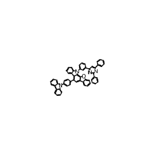 c1ccc(-c2cc(-c3cccc(-n4c5ccccc5c5c(-c6ccc(-n7c8ccccc8c8ccccc87)cc6)cc6c7ccccc7oc6c54)c3)nc(-c3ccccc3)n2)cc1